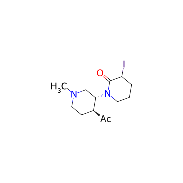 CC(=O)[C@H]1CCN(C)C[C@@H]1N1CCCC(I)C1=O